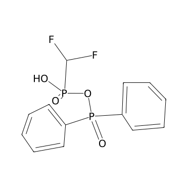 O=P(OP(=O)(O)C(F)F)(c1ccccc1)c1ccccc1